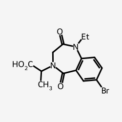 CCN1C(=O)CN(C(C)C(=O)O)C(=O)c2cc(Br)ccc21